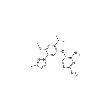 COc1cc(C(C)C)c(Oc2cnc(N)nc2N)cc1-n1ccc(C)n1